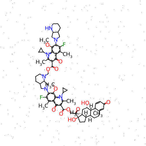 COc1c(N2CC3CCCNC3C2)c(F)c(C)c2c(=O)c(C(=O)OCN3CCCC4CN(c5c(F)c(C)c6c(=O)c(C(=O)OCC(=O)[C@@]7(O)CC[C@H]8[C@@H]9CCC%10=CC(=O)C=C[C@]%10(C)[C@H]9[C@@H](O)C[C@@]87C)c(C)n(C7CC7)c6c5OC)CC43)c(C)n(C3CC3)c12